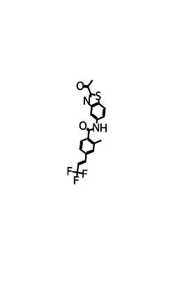 CC(=O)c1nc2cc(NC(=O)c3ccc(/C=C/C(F)(F)F)cc3C)ccc2s1